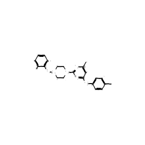 Cc1ccc(Nc2cc(C)nc(N3CCN(Sc4ccccc4F)CC3)n2)cc1